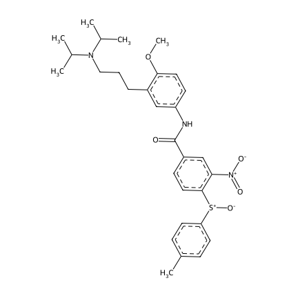 COc1ccc(NC(=O)c2ccc([S+]([O-])c3ccc(C)cc3)c([N+](=O)[O-])c2)cc1CCCN(C(C)C)C(C)C